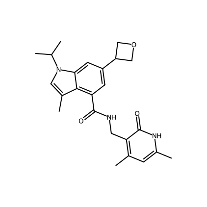 Cc1cc(C)c(CNC(=O)c2cc(C3COC3)cc3c2c(C)cn3C(C)C)c(=O)[nH]1